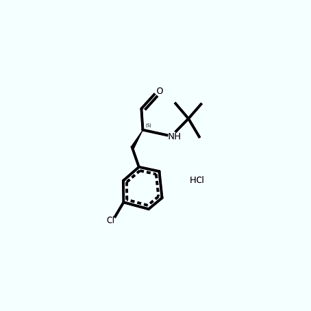 CC(C)(C)N[C@H](C=O)Cc1cccc(Cl)c1.Cl